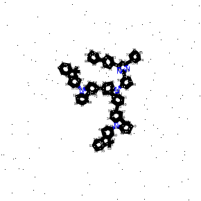 CC1(C)c2ccccc2-c2ccc(-n3c4ccccc4c4cc(-c5ccc6c(c5)c5cc(-c7ccc8c(c7)c7ccccc7n8-c7ccc8c(c7)C(C)(C)c7ccccc7-8)ccc5n6-c5cccc(-c6nc(-c7ccccc7)cc(-c7ccc(-c8ccccc8)cc7)n6)c5)ccc43)cc21